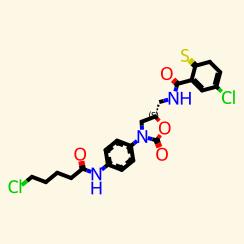 O=C(CCCCCl)Nc1ccc(N2C[C@H](CNC(=O)C3=CC(Cl)=CCC3=S)OC2=O)cc1